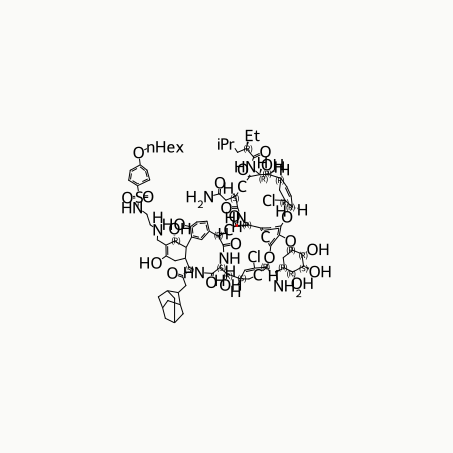 CCCCCCOc1ccc(S(=O)(=O)NCCNCC2=C(O)CC3C(c4cc(ccc4O)[C@H]4CC(=O)[C@@H]5NC(=O)[C@H](CC(N)=O)CC(=O)[C@H](NC(=O)[C@H](CC)CC(C)C)[C@H](O)[C@H]6C=C[C@@H](Oc7cc5cc(c7O[C@@H]5C[C@H](CN)[C@@H](O)[C@H](O)[C@H]5O)O[C@@H]5CC[C@@H](C=C5Cl)[C@@H](O)[C@H](NC4=O)C(=O)N[C@@H]3C(=O)CC3C4CC5CC(C4)CC3C5)[C@H](Cl)C6)[C@H]2O)cc1